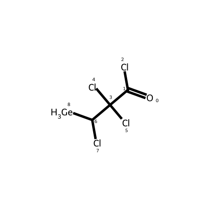 O=C(Cl)C(Cl)(Cl)[CH](Cl)[GeH3]